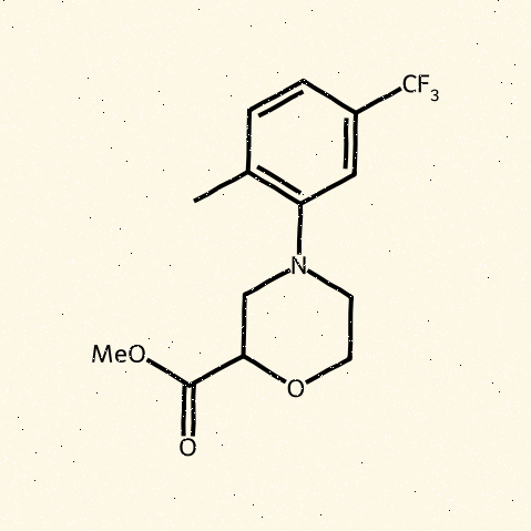 COC(=O)C1CN(c2cc(C(F)(F)F)ccc2C)CCO1